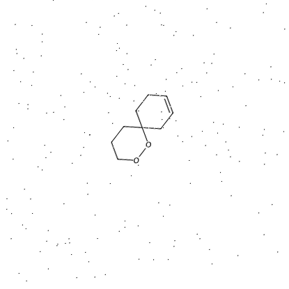 C1=CCC2(CC1)CCCOO2